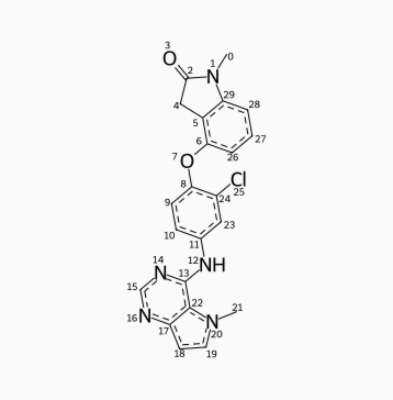 CN1C(=O)Cc2c(Oc3ccc(Nc4ncnc5ccn(C)c45)cc3Cl)cccc21